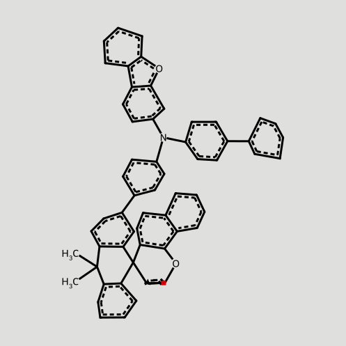 CC1(C)c2ccccc2C2(c3ccccc3Oc3c2ccc2ccccc32)c2cc(-c3ccc(N(c4ccc(-c5ccccc5)cc4)c4ccc5c(c4)oc4ccccc45)cc3)ccc21